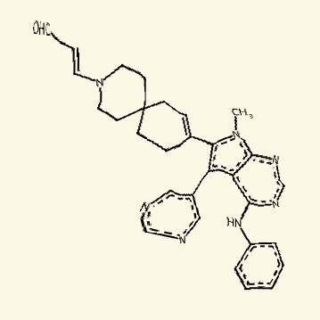 Cn1c(C2=CCC3(CC2)CCN(C=CC=O)CC3)c(-c2cncnc2)c2c(Nc3ccccc3)ncnc21